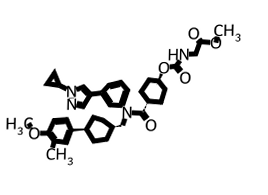 COC(=O)CNC(=O)O[C@H]1CC[C@H](C(=O)N(C[C@H]2CC[C@H](c3ccc(OC)c(C)c3)CC2)c2cccc(-c3cnn(C4CC4)c3)c2)CC1